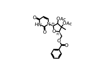 CC(=O)OC1[C@H](n2ccc(=O)[nH]c2=O)O[C@H](COC(=O)c2ccccc2)C1(C)OC(C)=O